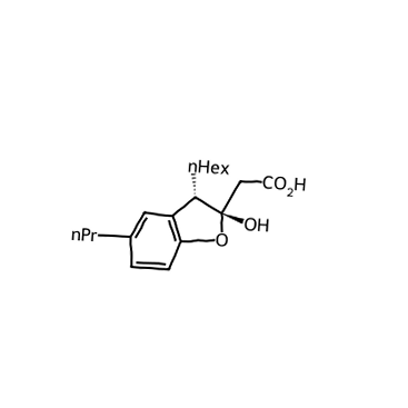 CCCCCC[C@H]1c2cc(CCC)ccc2O[C@@]1(O)CC(=O)O